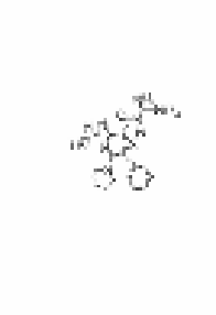 Cl.N=C(N)NC(=O)c1nc(-c2ccccc2)c(N2CCCC2)nc1N